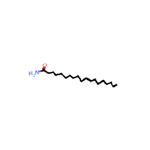 C=CCCCCCCCCCCCCCCCCC(N)=O